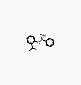 CC(C)c1ccccc1OP(O)c1ccccc1